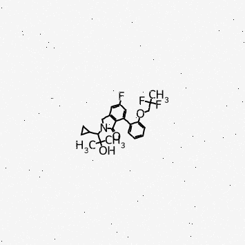 CC(F)(F)COc1ccccc1-c1cc(F)cc2c1C(=O)N(C(C1CC1)C(C)(C)O)C2